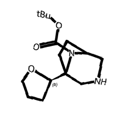 CC(C)(C)OC(=O)N1C2CCC1([C@H]1CCCO1)CNC2